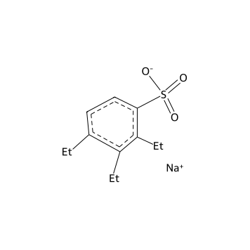 CCc1ccc(S(=O)(=O)[O-])c(CC)c1CC.[Na+]